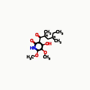 CC[C@@H](C)C[C@H](C)C(=O)c1c(O)c(OC)c(OC)[nH]c1=O